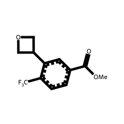 COC(=O)c1ccc(C(F)(F)F)c(C2COC2)c1